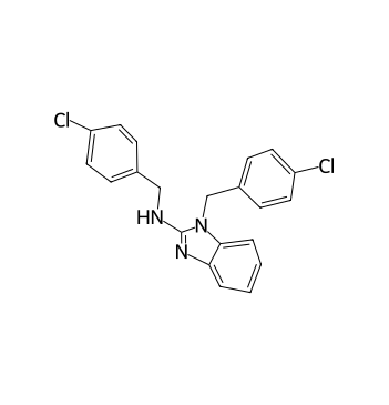 Clc1ccc(CNc2nc3ccccc3n2Cc2ccc(Cl)cc2)cc1